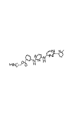 Cc1cccc(-c2nccc(Nc3ccnc(Nc4cccc(C(=O)OCC5CNC5)c4)n3)n2)n1